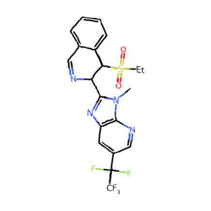 CCS(=O)(=O)C1c2ccccc2C=NC1c1nc2cc(C(F)(F)C(F)(F)F)cnc2n1C